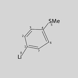 [Li][c]1ccc(SC)cc1